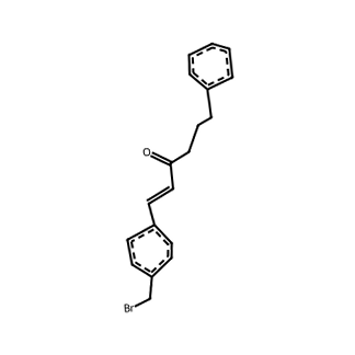 O=C(C=Cc1ccc(CBr)cc1)CCCc1ccccc1